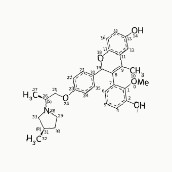 COc1c(O)cccc1C1=C(C)c2cc(O)ccc2OC1c1ccc(OC[C@H](C)N2CC[C@@H](C)C2)cc1